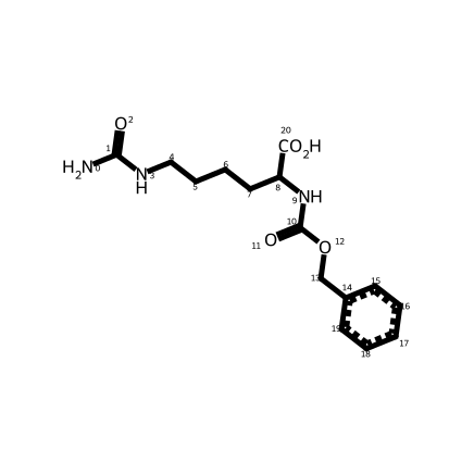 NC(=O)NCCCCC(NC(=O)OCc1ccccc1)C(=O)O